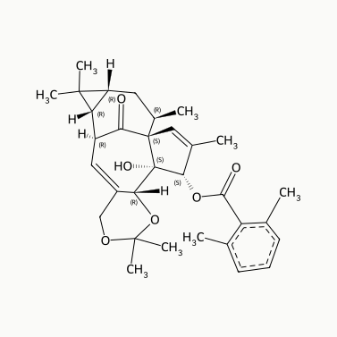 CC1=C[C@]23C(=O)[C@@H](C=C4COC(C)(C)O[C@H]4[C@]2(O)[C@H]1OC(=O)c1c(C)cccc1C)[C@H]1[C@@H](C[C@H]3C)C1(C)C